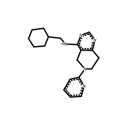 c1ccc(N2CCc3ncnc(NCC4CCCCC4)c3C2)nc1